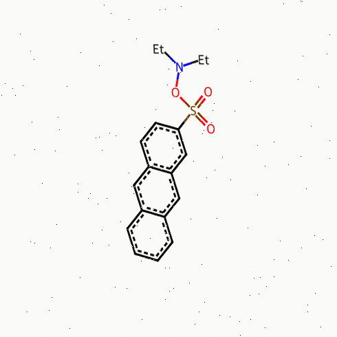 CCN(CC)OS(=O)(=O)c1ccc2cc3ccccc3cc2c1